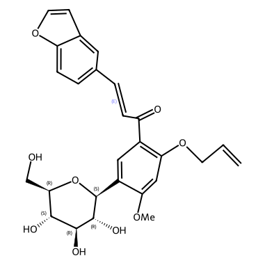 C=CCOc1cc(OC)c([C@@H]2O[C@H](CO)[C@@H](O)[C@H](O)[C@H]2O)cc1C(=O)/C=C/c1ccc2occc2c1